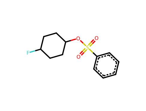 O=S(=O)(OC1CCC(F)CC1)c1ccccc1